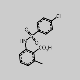 Cc1cccc(NS(=O)(=O)c2ccc(Cl)cc2)c1C(=O)O